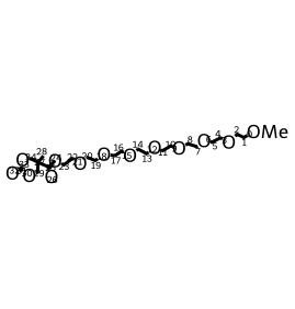 COCCOCCOCCOCCOCCOCCOCCOCCOC(=O)C1(C)COC(=O)OC1